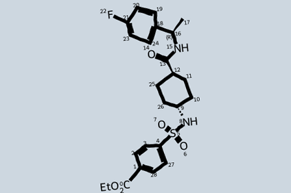 CCOC(=O)c1ccc(S(=O)(=O)N[C@H]2CC[C@H](C(=O)N[C@H](C)c3ccc(F)cc3)CC2)cc1